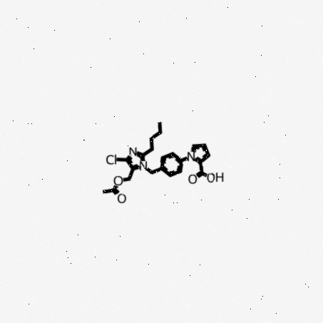 CCCCc1nc(Cl)c(COC(C)=O)n1Cc1ccc(-n2cccc2C(=O)O)cc1